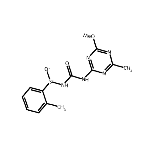 COc1nc(C)nc(NC(=O)N[S+]([O-])c2ccccc2C)n1